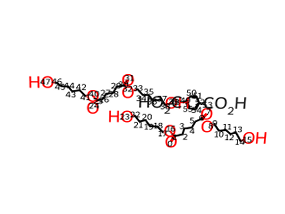 O=C(CCCCC(=O)OCCCCCCO)OCCCCCCO.O=C(CCCCC(=O)OCCCCCCO)OCCCCCCO.O=C(O)c1ccc(C(=O)O)cc1